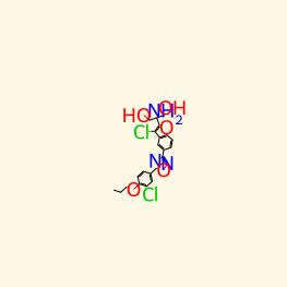 CCCOc1ccc(-c2nc(-c3ccc4oc(C(N)(CO)CO)c(Cl)c4c3)no2)cc1Cl